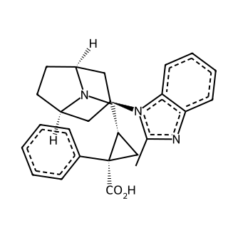 Cc1nc2ccccc2n1[C@H]1C[C@H]2CC[C@@H](C1)N2C[C@@H]1C[C@@]1(C(=O)O)c1ccccc1